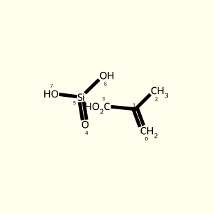 C=C(C)C(=O)O.O=[Si](O)O